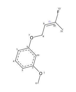 COc1cccc(OC/C=C(\C)F)c1